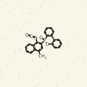 Cc1cc(P2(=O)Oc3ccccc3-c3ccccc32)c(N=C=O)c2ccccc12